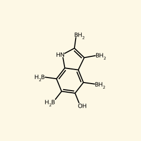 Bc1[nH]c2c(B)c(B)c(O)c(B)c2c1B